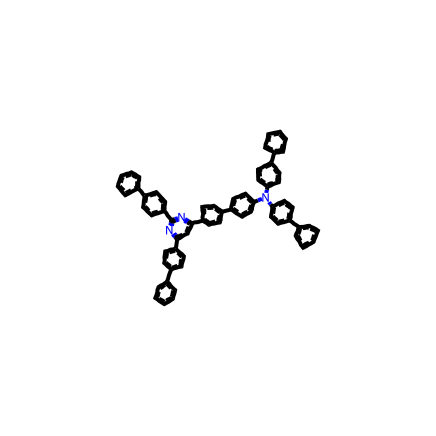 c1ccc(-c2ccc(-c3cc(-c4ccc(-c5ccc(N(c6ccc(-c7ccccc7)cc6)c6ccc(-c7ccccc7)cc6)cc5)cc4)nc(-c4ccc(-c5ccccc5)cc4)n3)cc2)cc1